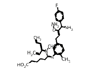 C=C/C=C(\C=C)N(C=O)/C(CCCCC(=O)O)=N\c1cc(C/C=C(\ON)C(N)c2ccc(F)cc2)ccc1C